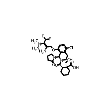 CC[C@]1(C(=O)O)CCCC[C@H]1C(=O)N1CCc2c(Cl)ccc(OC/C(N)=C(\C(F)F)N(C)N)c2C1N1CCCC1=O